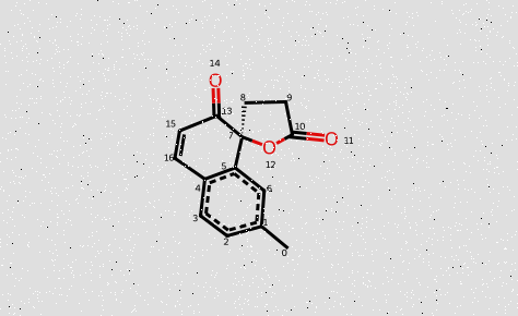 Cc1ccc2c(c1)[C@@]1(CCC(=O)O1)C(=O)C=C2